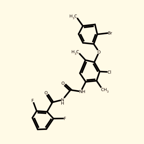 Cc1ccc(Oc2c(C)cc(NC(=O)NC(=O)c3c(F)cccc3F)c(C)c2Cl)c(Br)c1